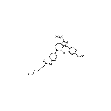 CCOC(=O)c1nn(-c2ccc(OC)cc2)c2c1CCN(c1ccc(NC(=O)CCCCCBr)cc1)C2=O